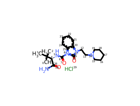 CC(C)(C)[C@H](NC(=O)n1c(=O)n(CCN2CCCCC2)c2ccccc21)C(N)=O.Cl